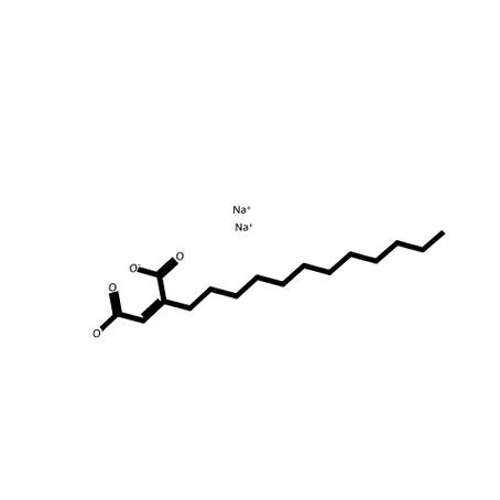 CCCCCCCCCCCCC(=CC(=O)[O-])C(=O)[O-].[Na+].[Na+]